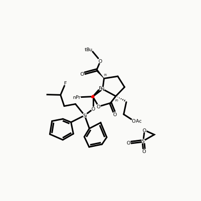 CCCC(F)OC(=O)[C@]1(CCOC(C)=O)CC[C@H](C(=O)OC(C)(C)C)N1CO[Si](CCC(C)F)(c1ccccc1)c1ccccc1.O=S1(=O)CO1